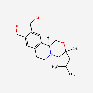 CC(C)CC1(C)CN2CCc3cc(CO)c(CO)cc3[C@H]2CO1